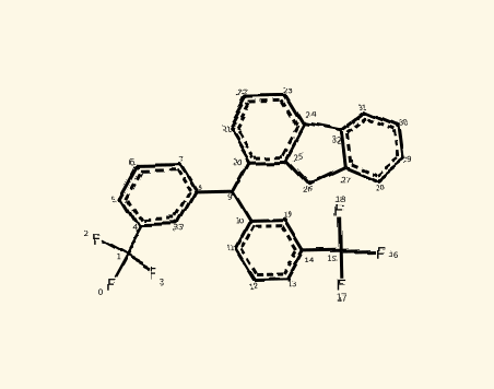 FC(F)(F)c1cccc(C(c2cccc(C(F)(F)F)c2)c2cccc3c2Cc2ccccc2-3)c1